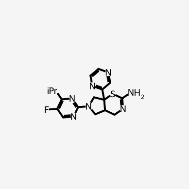 CC(C)c1nc(N2CC3CN=C(N)SC3(c3cnccn3)C2)ncc1F